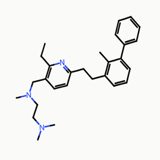 CCc1nc(CCc2cccc(-c3ccccc3)c2C)ccc1CN(C)CCN(C)C